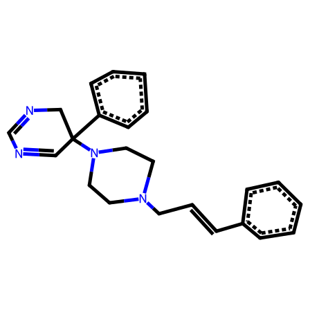 C(=Cc1ccccc1)CN1CCN(C2(c3ccccc3)C=NC=NC2)CC1